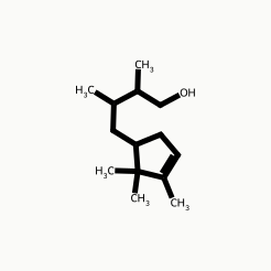 CC1=CCC(CC(C)C(C)CO)C1(C)C